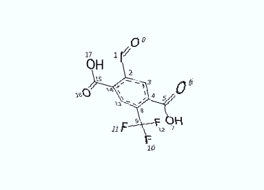 O=Ic1cc(C(=O)O)c(C(F)(F)F)cc1C(=O)O